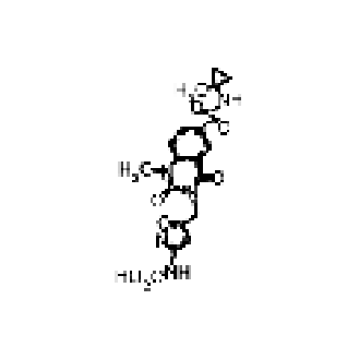 Cn1c(=O)n(Cc2cc(NC(=O)O)no2)c(=O)c2cc(S(=O)(=O)NC3(C)CC3)ccc21